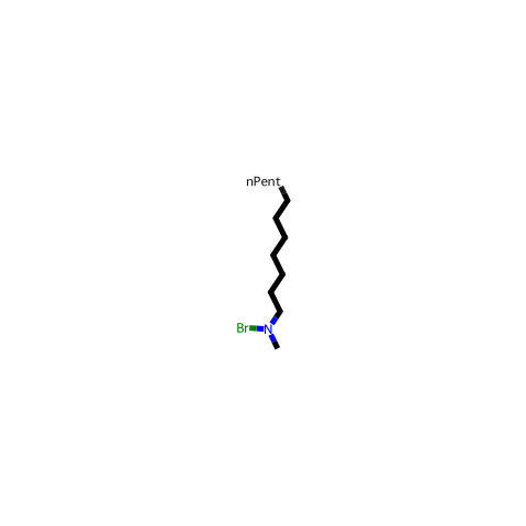 CCCCCCCCCCCCN(C)Br